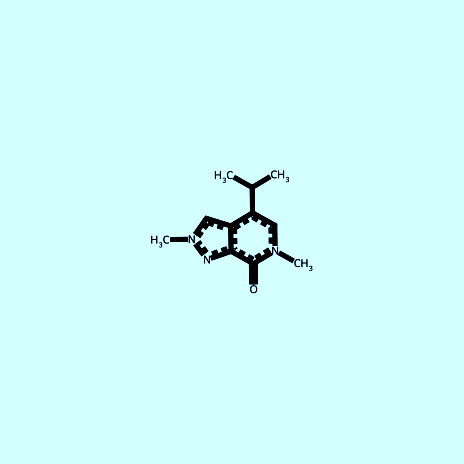 CC(C)c1cn(C)c(=O)c2nn(C)cc12